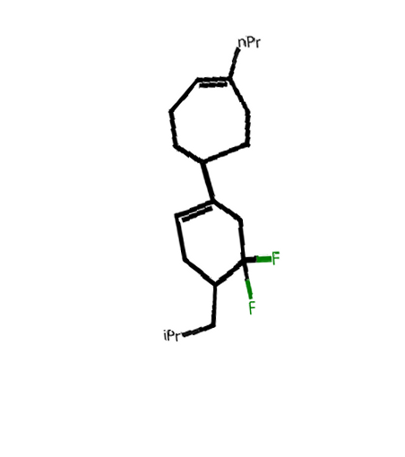 CCCC1=CCCC(C2=CCC(CC(C)C)C(F)(F)C2)CC1